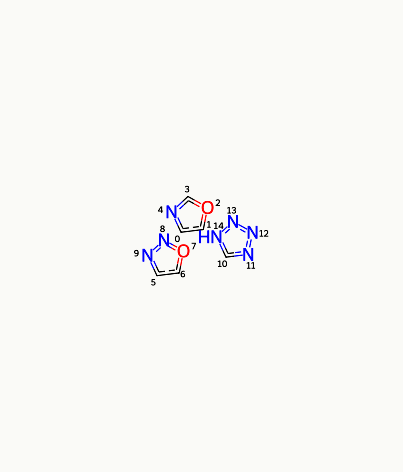 c1cocn1.c1conn1.c1nnn[nH]1